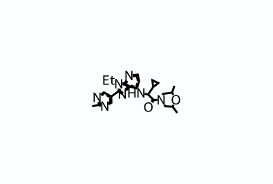 CCn1c(-c2cnc(C)nc2)nc2c(NC(C(=O)N3CC(C)OC(C)C3)C3CC3)ccnc21